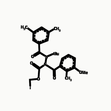 COc1cccc(C(=O)N(C(=O)OCI)N(C(=O)c2cc(C)cc(C)c2)C(C)(C)C)c1C